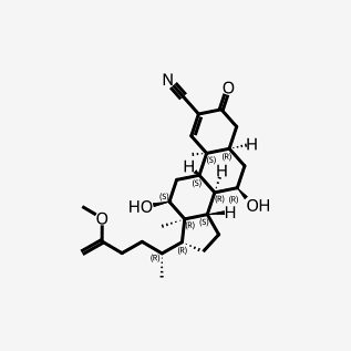 C=C(CC[C@@H](C)[C@H]1CC[C@H]2[C@@H]3[C@H](O)C[C@@H]4CC(=O)C(C#N)=C[C@]4(C)[C@H]3C[C@H](O)[C@]12C)OC